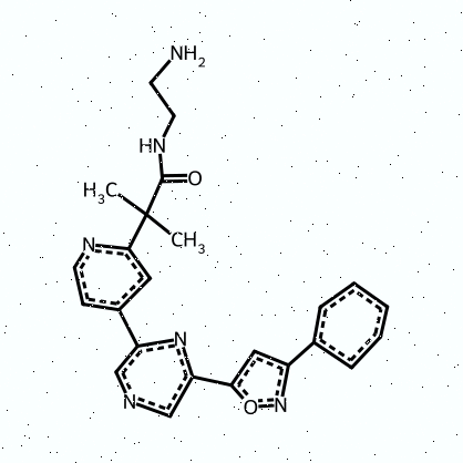 CC(C)(C(=O)NCCN)c1cc(-c2cncc(-c3cc(-c4ccccc4)no3)n2)ccn1